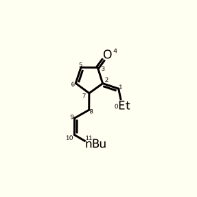 CC/C=C1/C(=O)C=CC1C/C=C\CCCC